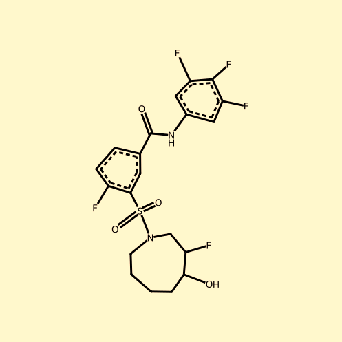 O=C(Nc1cc(F)c(F)c(F)c1)c1ccc(F)c(S(=O)(=O)N2CCCCC(O)C(F)C2)c1